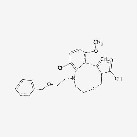 C=C1c2c(OC)ccc(Cl)c2N(CCOCc2ccccc2)CCCCC1C(=O)O